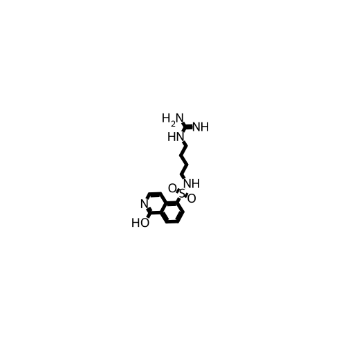 N=C(N)NCCCCNS(=O)(=O)c1cccc2c(O)nccc12